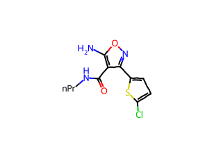 CCCNC(=O)c1c(-c2ccc(Cl)s2)noc1N